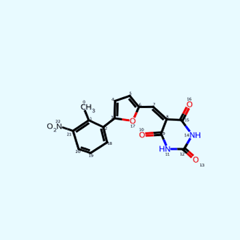 Cc1c(-c2ccc(C=C3C(=O)NC(=O)NC3=O)o2)cccc1[N+](=O)[O-]